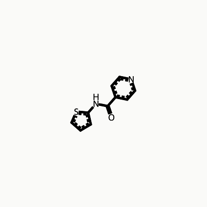 O=C(Nc1cccs1)c1ccncc1